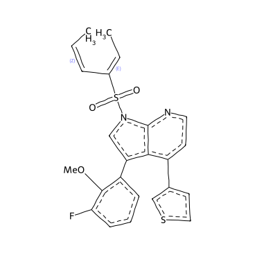 C/C=C\C(=C/C)S(=O)(=O)n1cc(-c2cccc(F)c2OC)c2c(-c3ccsc3)ccnc21